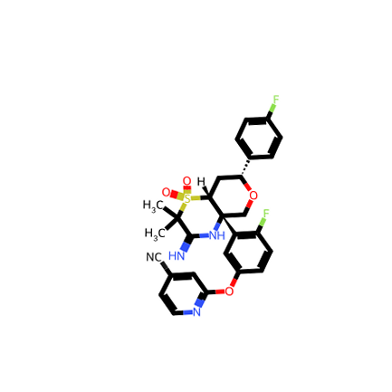 CC1(C)C(=N)N[C@@]2(c3cc(Oc4cc(C#N)ccn4)ccc3F)CO[C@@H](c3ccc(F)cc3)C[C@H]2S1(=O)=O